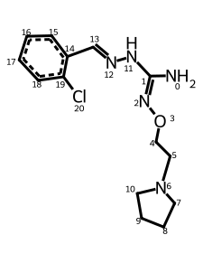 NC(=NOCCN1CCCC1)NN=Cc1ccccc1Cl